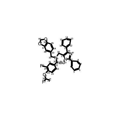 CCCCn1c(-c2ccccc2)nc(-c2ccccc2)c1CN(Cc1ccc(OC(F)F)c(F)c1)Cc1ccc2c(c1)OCO2